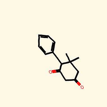 CC1(C)CC(=O)CC(=O)C1c1ccccc1